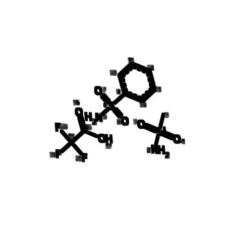 CS(N)(=O)=O.NS(=O)(=O)c1ccccc1.O=C(O)C(F)(F)F